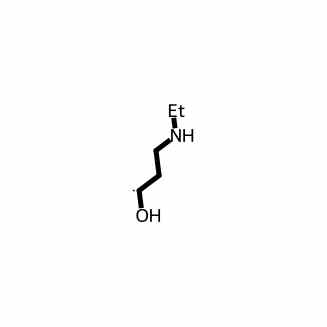 CCNCC[CH]O